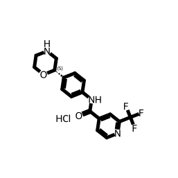 Cl.O=C(Nc1ccc([C@H]2CNCCO2)cc1)c1ccnc(C(F)(F)F)c1